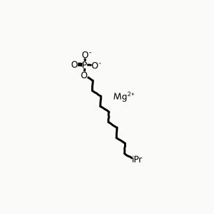 CC(C)CCCCCCCCCCOP(=O)([O-])[O-].[Mg+2]